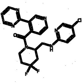 O=C(c1ccncc1-c1ncccn1)N1CCC(F)(F)CC1CNc1ccc(Cl)cn1